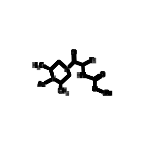 CCC(NC(=O)OC(C)(C)C)C(=O)N1C[C@@H](C)N(C(C)=O)[C@@H](C)C1